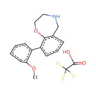 CCOc1ccccc1-c1cccc2c1OCCNC2.O=C(O)C(F)(F)F